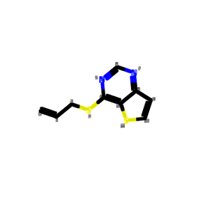 C=CCSc1ncnc2ccsc12